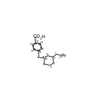 CC(C)CC1CCCN(Cc2ccc(C(=O)O)cc2)C1